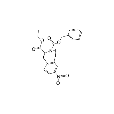 CCOC(=O)[C@H](Cc1ccc([N+](=O)[O-])cc1I)NC(=O)OCc1ccccc1